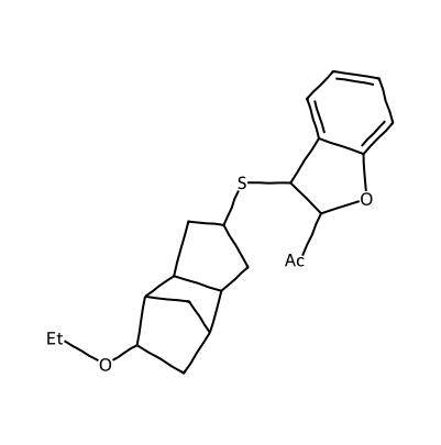 CCOC1CC2CC1C1CC(SC3c4ccccc4OC3C(C)=O)CC21